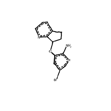 Nc1ncc(Br)cc1OC1CCc2cccnc21